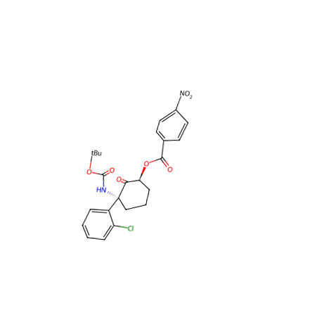 CC(C)(C)OC(=O)N[C@@]1(c2ccccc2Cl)CCC[C@H](OC(=O)c2ccc([N+](=O)[O-])cc2)C1=O